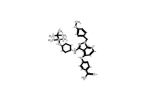 COc1ccc(Cn2nc(N[C@H]3CC[C@H](O[Si](C)(C)C(C)(C)C)CC3)c3c(Oc4ccc(C(=O)O)cc4)ccnc32)cc1